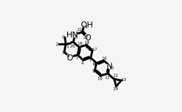 CC1(C)COc2cc(-c3ccc(C4CC4)nc3)ccc2C1NC(=O)O